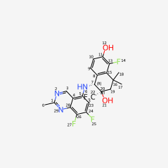 Cc1ncc2c(N[C@@H]3c4ccc(O)c(F)c4C(C)(C)C[C@]3(O)C(F)(F)F)cc(F)c(F)c2n1